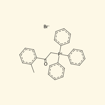 Cc1ccccc1C(=O)C[P+](c1ccccc1)(c1ccccc1)c1ccccc1.[Br-]